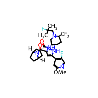 COc1cc(-c2cc(C(=O)N3[C@@H]4CC[C@H]3C[C@H](C(=O)N[C@H]3CC[C@H](C(F)(F)F)N(CC(C)(C)F)C3)C4)n[nH]2)c(F)cn1